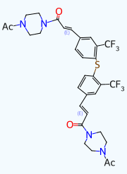 CC(=O)N1CCN(C(=O)/C=C/c2ccc(Sc3ccc(/C=C/C(=O)N4CCN(C(C)=O)CC4)cc3C(F)(F)F)c(C(F)(F)F)c2)CC1